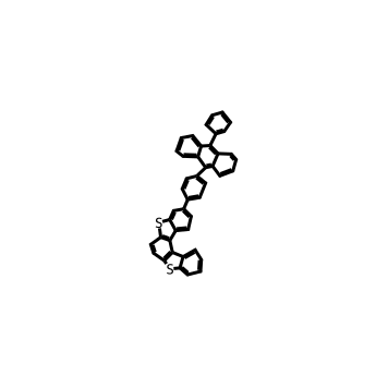 c1ccc(-c2c3ccccc3c(-c3ccc(-c4ccc5c(c4)sc4ccc6sc7ccccc7c6c45)cc3)c3ccccc23)cc1